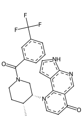 C[C@@H]1CCN(C(=O)c2cccc(C(F)(F)F)c2)C[C@@H]1n1ccc(=O)c2cnc3[nH]ccc3c21